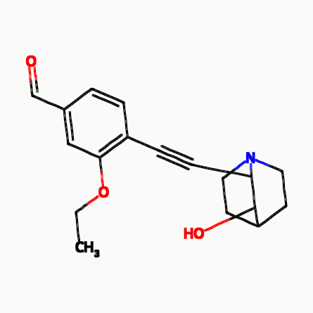 CCOc1cc(C=O)ccc1C#CC1C(O)C2CCN1CC2